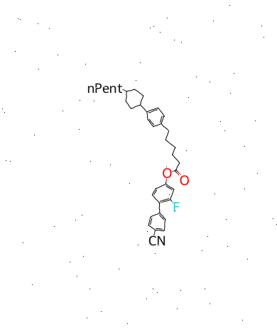 CCCCCC1CCC(c2ccc(CCCCCC(=O)Oc3ccc(-c4ccc(C#N)cc4)c(F)c3)cc2)CC1